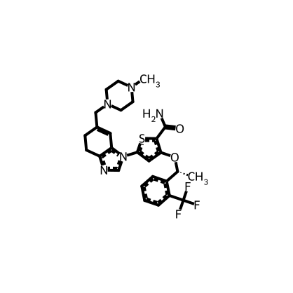 C[C@@H](Oc1cc(-n2cnc3c2C=C(CN2CCN(C)CC2)CC3)sc1C(N)=O)c1ccccc1C(F)(F)F